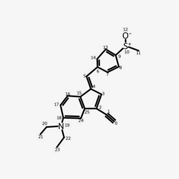 C#CC1=CC(=Cc2ccc([S+](C)[O-])cc2)c2ccc(N(CC)CC)cc21